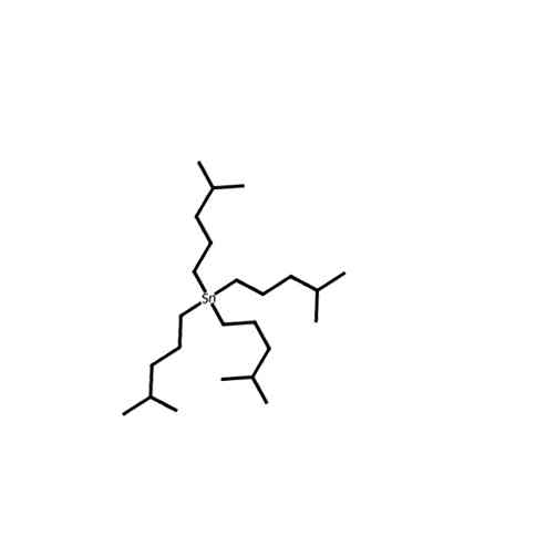 CC(C)CC[CH2][Sn]([CH2]CCC(C)C)([CH2]CCC(C)C)[CH2]CCC(C)C